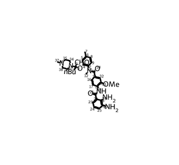 CCCCC(C=O)(Oc1cc(C)ccc1N(C)C(=O)c1ccc(NC(=O)c2cccc(N)c2N)c(OC)c1)N1CCN(C)CC1